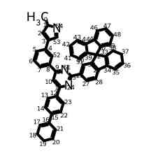 CC1C=C(c2cccc(-c3cc(-c4ccc(C5=CCCC=C5)cc4)nc(-c4ccc5c(c4)C4(C6=C5C=CCC6)c5ccccc5-c5ccccc54)n3)c2)C=N1